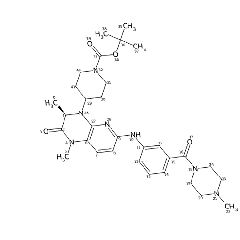 C[C@@H]1C(=O)N(C)c2ccc(Nc3cccc(C(=O)N4CCN(C)CC4)c3)nc2N1C1CCN(C(=O)OC(C)(C)C)CC1